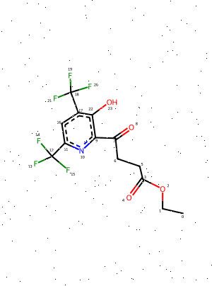 CCOC(=O)CCC(=O)c1nc(C(F)(F)F)cc(C(F)(F)F)c1O